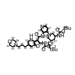 CC(C)(C)OC(=O)Nc1oc2c(c1C(=O)Nc1cnccc1N1C[C@@H](NC(=O)OC(C)(C)C)C[C@@H](C(F)(F)F)C1)NCC(CCCN1CCOCC1)=C2